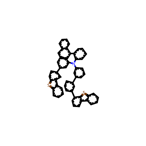 c1cc(-c2cccc(N(c3cccc(-c4ccc5sc6ccccc6c5c4)c3)c3ccccc3-c3cccc4ccccc34)c2)cc(-c2cccc3c2sc2ccccc23)c1